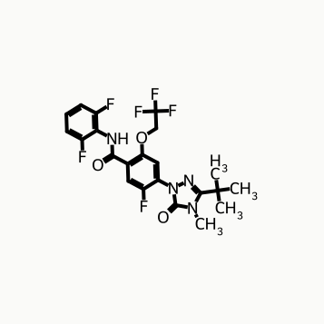 Cn1c(C(C)(C)C)nn(-c2cc(OCC(F)(F)F)c(C(=O)Nc3c(F)cccc3F)cc2F)c1=O